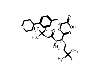 CN(C(=O)OC(C)(C)C)[C@@H](CCC(C)(C)F)C(=O)O[C@H](Cc1ccc(C2CCOCC2)cc1)C(=O)O